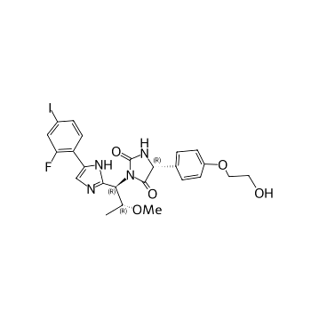 CO[C@H](C)[C@@H](c1ncc(-c2ccc(I)cc2F)[nH]1)N1C(=O)N[C@H](c2ccc(OCCO)cc2)C1=O